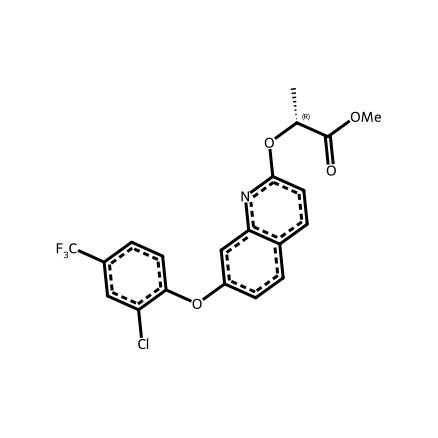 COC(=O)[C@@H](C)Oc1ccc2ccc(Oc3ccc(C(F)(F)F)cc3Cl)cc2n1